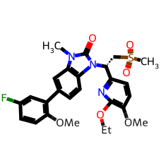 CCOc1nc([C@@H](CS(C)(=O)=O)n2c(=O)n(C)c3cc(-c4cc(F)ccc4OC)ccc32)ccc1OC